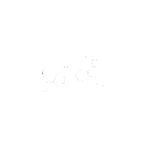 Cc1[nH]nc(C#N)c1-c1nc(-n2cnc3cc(N4CCC[C@H]4C#N)ccc32)ccc1CCO